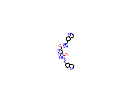 O=C(NN=Cc1ccc2ncccc2c1)c1cc(C(=O)NN=Cc2ccc3ncccc3c2)ncn1